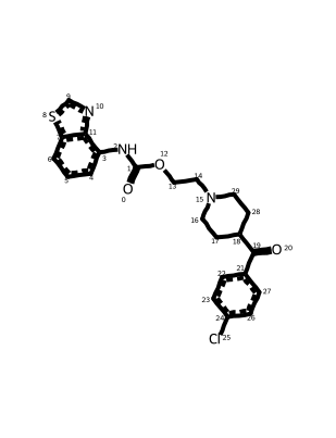 O=C(Nc1cccc2scnc12)OCCN1CCC(C(=O)c2ccc(Cl)cc2)CC1